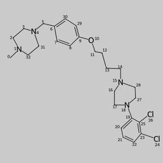 CN1CCN(Cc2ccc(OCCCCN3CCN(c4cccc(Cl)c4Cl)CC3)cc2)CC1